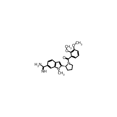 COc1cccc(C(=O)N2CCC[C@H]2c2cc3ccc(C(=N)N)cc3n2C)c1OC